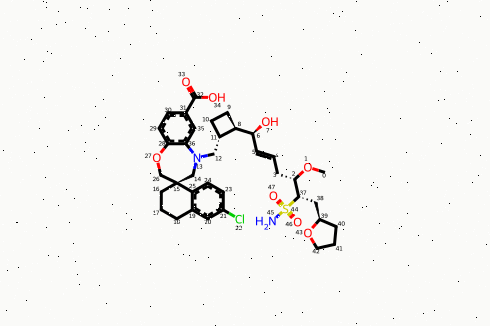 CO[C@@H](C/C=C/[C@H](O)[C@@H]1CC[C@H]1CN1C[C@@]2(CCCc3cc(Cl)ccc32)COc2ccc(C(=O)O)cc21)[C@H](C[C@H]1CCCO1)S(N)(=O)=O